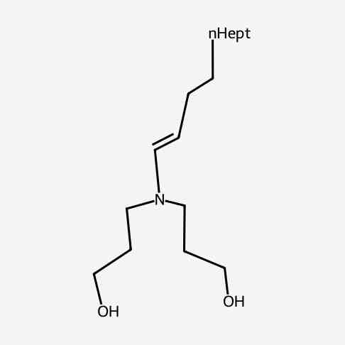 CCCCCCCCCC=CN(CCCO)CCCO